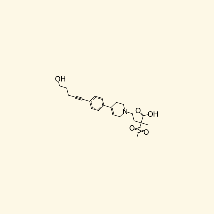 CC(CCN1CC=C(c2ccc(C#CCCCO)cc2)CC1)(C(=O)O)S(C)(=O)=O